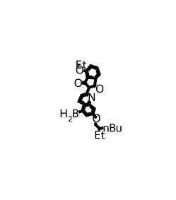 Bc1cc(OCC(CC)CCCC)cc2nc(C3C(=O)c4cccc(OCC)c4C3=O)ccc12